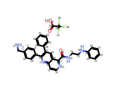 NCc1ccc(-c2nc3ccnc(C(=O)NCCNc4ccccc4)c3cc2-c2ccccc2)cc1.O=C(O)C(F)(F)F